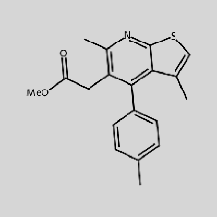 COC(=O)Cc1c(C)nc2scc(C)c2c1-c1ccc(C)cc1